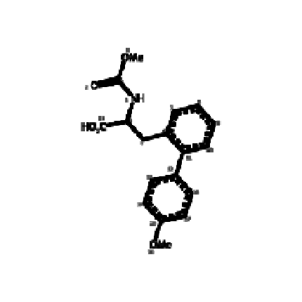 COC(=O)NC(Cc1ccccc1-c1ccc(OC)cc1)C(=O)O